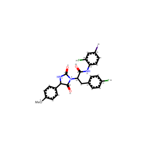 COc1ccc(C2NC(=O)N(C(Cc3ccc(F)cc3)C(=O)Nc3ccc(I)cc3F)C2=O)cc1